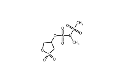 CN(S(C)(=O)=O)S(=O)(=O)OC1COS(=O)(=O)C1